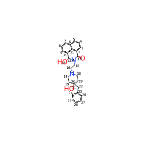 O=C1c2cccc3cccc(c23)C(O)N1CCN1CCC(O)(Cc2ccccc2)CC1